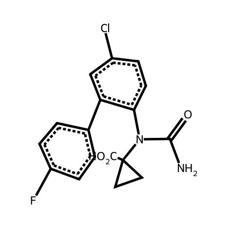 NC(=O)N(c1ccc(Cl)cc1-c1ccc(F)cc1)C1(C(=O)O)CC1